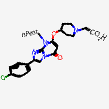 CCCCCn1c(OC2CCN(CC(=O)O)CC2)cc(=O)n2cc(-c3ccc(Cl)cc3)nc12